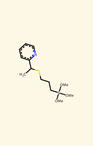 CO[Si](CCCSC(C)c1ccccn1)(OC)OC